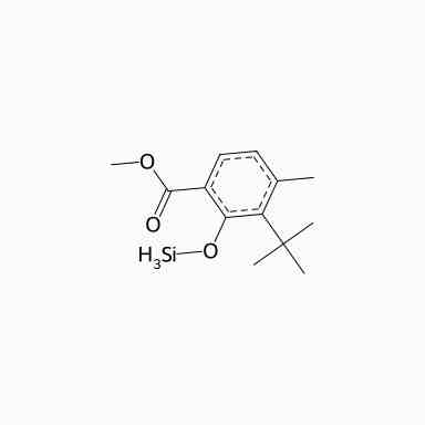 COC(=O)c1ccc(C)c(C(C)(C)C)c1O[SiH3]